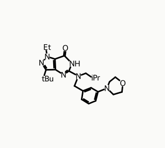 CCn1nc(C(C)(C)C)c2nc(N(Cc3cccc(N4CCOCC4)c3)CC(C)C)[nH]c(=O)c21